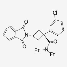 CCN(CC)C(=O)[C@]1(c2cccc(Cl)c2)C[C@@H](N2C(=O)c3ccccc3C2=O)C1